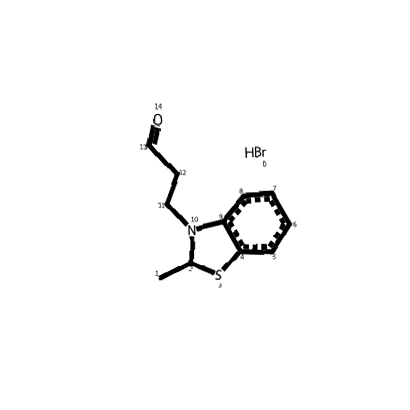 Br.CC1Sc2ccccc2N1CCC=O